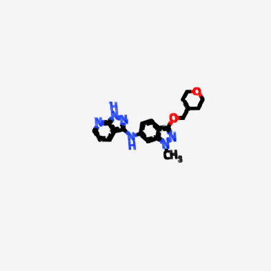 Cn1nc(OCC2CCOCC2)c2ccc(Nc3n[nH]c4ncccc34)cc21